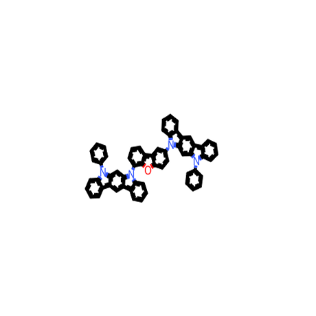 c1ccc(-n2c3ccccc3c3cc4c5ccccc5n(-c5ccc6oc7c(-n8c9ccccc9c9cc%10c%11ccccc%11n(-c%11ccccc%11)c%10cc98)cccc7c6c5)c4cc32)cc1